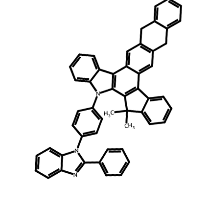 CC1(C)c2ccccc2-c2c1c1c(c3cc4c(cc23)Cc2ccccc2C4)c2ccccc2n1-c1ccc(-n2c(-c3ccccc3)nc3ccccc32)cc1